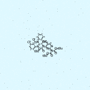 CC(c1nc2cccc(Cl)c2c(=O)n1-c1ccccc1)N(C(=O)OC(C)(C)C)c1nc(N(C(=O)OC(C)(C)C)C(=O)OC(C)(C)C)ncc1C#N